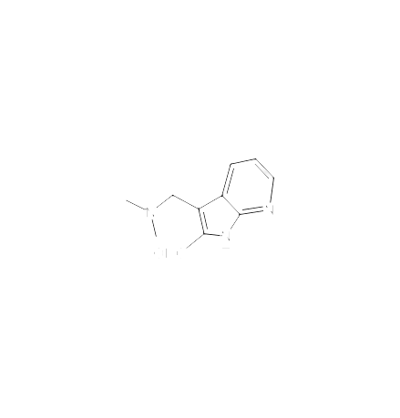 CN(C)Cc1c([C]=O)[nH]c2ncccc12